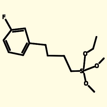 CCO[Si](CCCCc1cccc(F)c1)(OC)OC